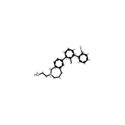 Cc1c(-c2ccc3c(c2)CCCN(CCO)C3)cccc1-c1ccccc1F